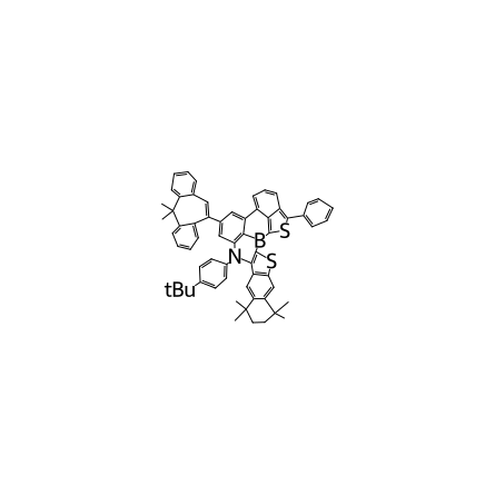 CC(C)(C)c1ccc(N2c3cc(C4=Cc5ccccc5C(C)(C)c5ccccc54)cc4c3B(c3sc5cc6c(cc5c32)C(C)(C)CCC6(C)C)c2sc(-c3ccccc3)c3cccc-4c23)cc1